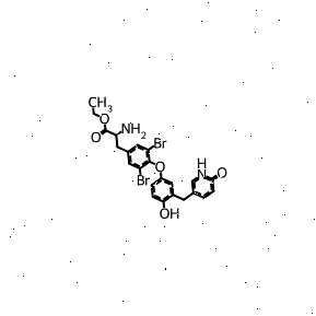 CCOC(=O)[C@@H](N)Cc1cc(Br)c(Oc2ccc(O)c(Cc3ccc(=O)[nH]c3)c2)c(Br)c1